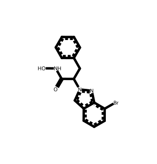 O=C(NO)C(Cc1ccccc1)n1cc2cccc(Br)c2n1